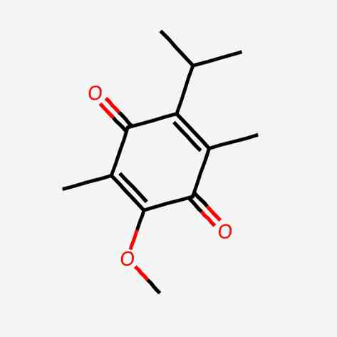 COC1=C(C)C(=O)C(C(C)C)=C(C)C1=O